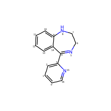 c1ccc(C2=NCCNc3ccccc32)nc1